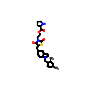 O=C(OCCN1C(=O)SC(=Cc2ccc3c(ccn3Cc3ccc(C(F)(F)F)cc3C(F)(F)F)c2)C1=O)[C@H]1CCCN1